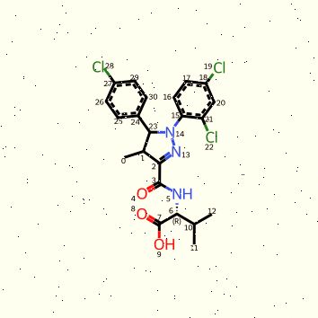 CC1C(C(=O)N[C@@H](C(=O)O)C(C)C)=NN(c2ccc(Cl)cc2Cl)C1c1ccc(Cl)cc1